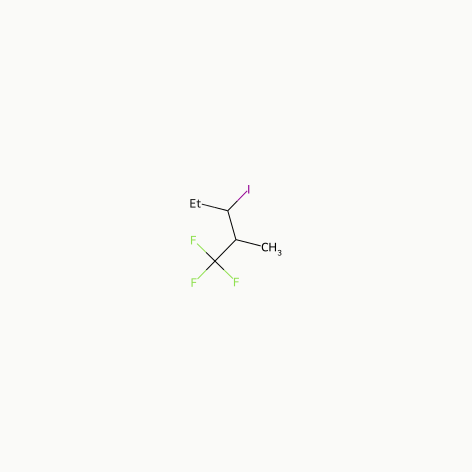 CCC(I)C(C)C(F)(F)F